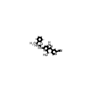 C[C@@H](NC(=O)Nc1cc2[nH]nc(-c3ccnc(C#N)c3)c2c(CO)n1)c1ccccc1